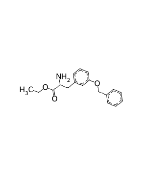 CCOC(=O)C(N)Cc1cccc(OCc2ccccc2)c1